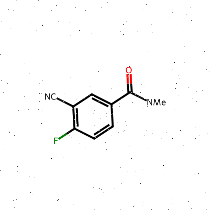 CNC(=O)c1ccc(F)c(C#N)c1